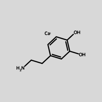 NCCc1ccc(O)c(O)c1.[Ca]